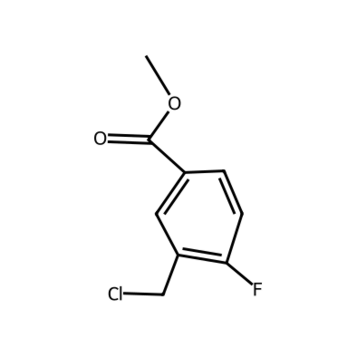 COC(=O)c1ccc(F)c(CCl)c1